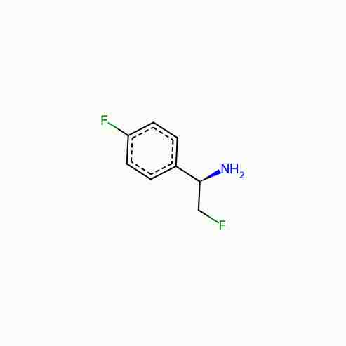 N[C@@H](CF)c1ccc(F)cc1